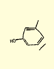 CC.Cc1cccc(O)c1